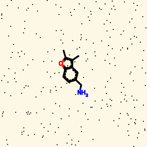 Cc1oc2ccc(CN)cc2c1C